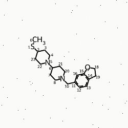 CSC1CCN(C2CCN(Cc3ccc4c(c3)OCC4)CC2)CC1